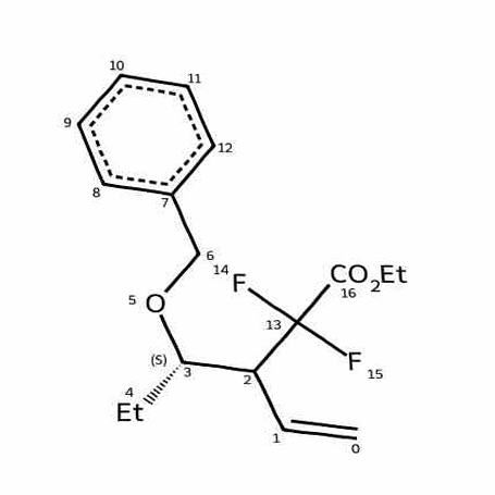 C=CC([C@H](CC)OCc1ccccc1)C(F)(F)C(=O)OCC